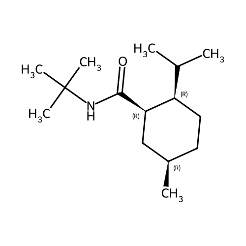 CC(C)[C@H]1CC[C@@H](C)C[C@H]1C(=O)NC(C)(C)C